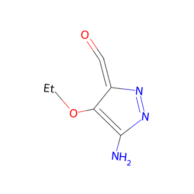 CCOC1=C(N)N=NC1=C=O